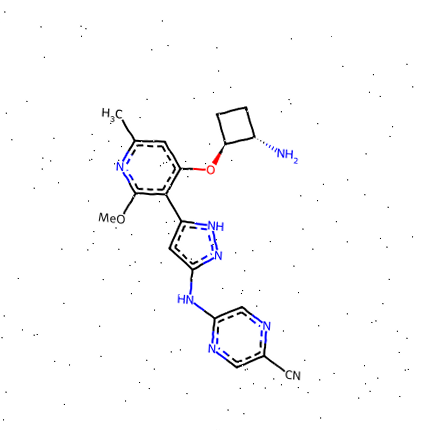 COc1nc(C)cc(O[C@H]2CC[C@@H]2N)c1-c1cc(Nc2cnc(C#N)cn2)n[nH]1